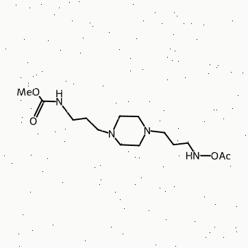 COC(=O)NCCCN1CCN(CCCNOC(C)=O)CC1